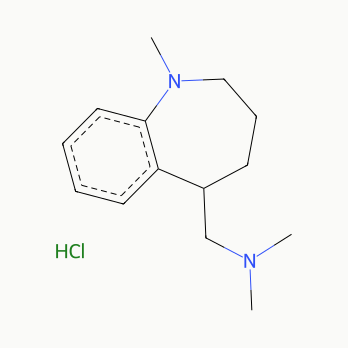 CN(C)CC1CCCN(C)c2ccccc21.Cl